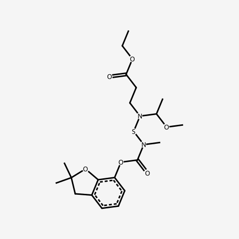 CCOC(=O)CCN(SN(C)C(=O)Oc1cccc2c1OC(C)(C)C2)C(C)OC